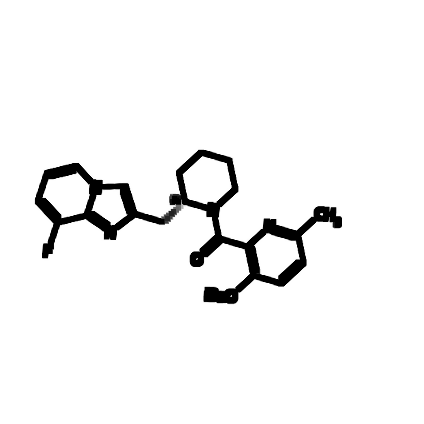 Cc1ccc(OCC(C)C)c(C(=O)N2CCCC[C@H]2Cc2cn3cccc(F)c3n2)n1